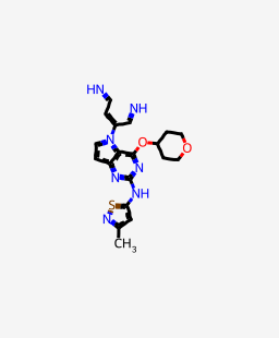 Cc1cc(Nc2nc(OC3CCOCC3)c3c(ccn3/C(C=N)=C/C=N)n2)sn1